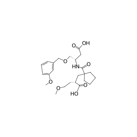 COCC[C@H](CC1(C(=O)N[C@H](COCc2cccc(OC)c2)CC(=O)O)CCCC1)C(=O)O